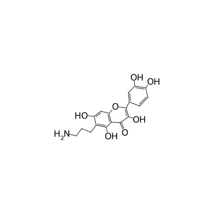 NCCCc1c(O)cc2oc(-c3ccc(O)c(O)c3)c(O)c(=O)c2c1O